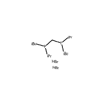 Br.Br.CCC(C)P(CP(C(C)C)C(C)CC)C(C)C